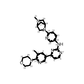 Cc1cc(-c2ccnc(Nc3ccc(N4CC5CC4CN5C)nc3)n2)cnc1N1CCOCC1